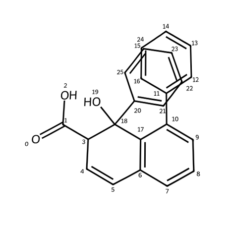 O=C(O)C1C=Cc2cccc(-c3ccccc3)c2C1(O)c1ccccc1